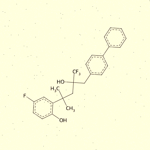 CC(C)(CC(O)(Cc1ccc(-c2ccccc2)cc1)C(F)(F)F)c1cc(F)ccc1O